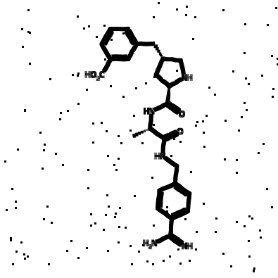 C[C@H](NC(=O)[C@H]1C[C@H](Cc2cccc(C(=O)O)c2)CN1)C(=O)NCc1ccc(C(=N)N)cc1